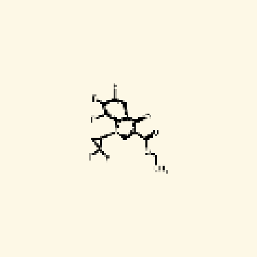 CCOC(=O)c1cn(C2CC2(F)F)c2c(F)c(F)c(F)cc2c1=O